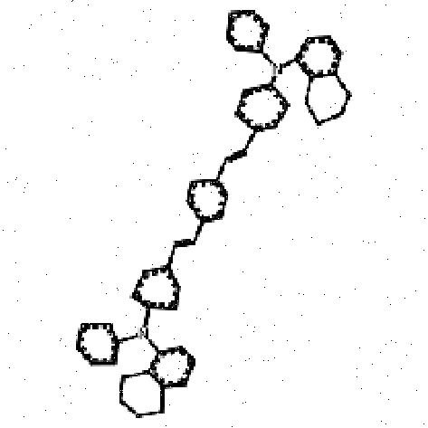 C(=C\c1ccc(N(c2ccccc2)c2cccc3c2CCCC3)cc1)/c1ccc(/C=C/c2ccc(N(c3ccccc3)c3cccc4c3CCCC4)cc2)cc1